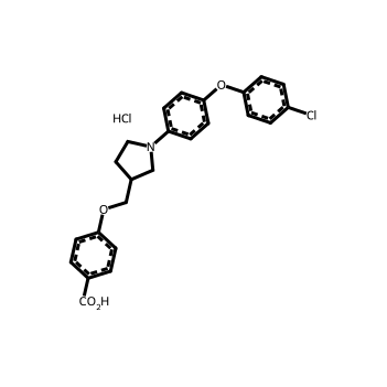 Cl.O=C(O)c1ccc(OCC2CCN(c3ccc(Oc4ccc(Cl)cc4)cc3)C2)cc1